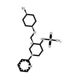 CC[C@H]1CC[C@@H](OC[C@@H]2CN(c3ccccn3)CCC2NS(C)(=O)=O)CC1